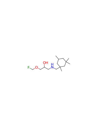 CC1CC(C)(C)CC(C)(CNCC(O)COCF)C1